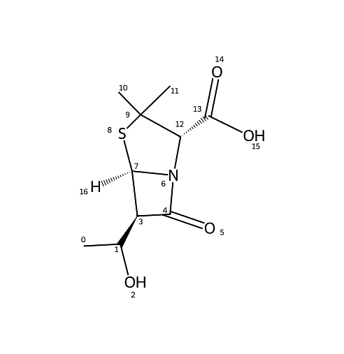 CC(O)[C@@H]1C(=O)N2[C@@H]1SC(C)(C)[C@@H]2C(=O)O